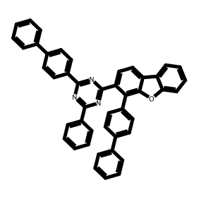 c1ccc(-c2ccc(-c3nc(-c4ccccc4)nc(-c4ccc5c(oc6ccccc65)c4-c4ccc(-c5ccccc5)cc4)n3)cc2)cc1